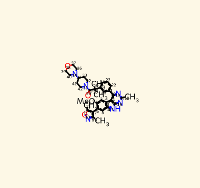 COc1cc2c(cc1-c1c(C)noc1C)[nH]c1nc(C)nc(-c3cccc(C(C)(C)C(=O)N4CCC(N5CCOCC5)CC4)c3)c12